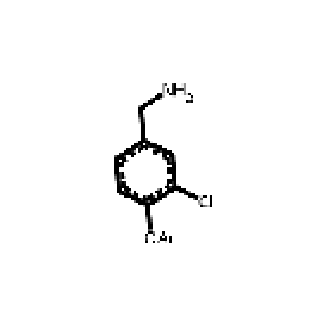 CC(=O)Oc1ccc(CN)cc1Cl